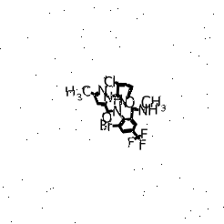 CNC(=O)c1cc(C(F)(F)F)cc(Br)c1NC(=O)c1cc(C)nn1-c1ncccc1Cl